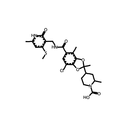 CSc1cc(C)[nH]c(=O)c1CNC(=O)c1cc(Cl)c2c(c1C)OC(C)(C1CCN(C(=O)O)C(C)C1)O2